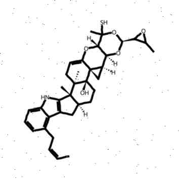 C/C=C\Cc1cccc2[nH]c3c(c12)C[C@@H]1CC[C@]2(O)[C@](C)(CC=C4O[C@H]5[C@@H](O[C@H](C6OC6C)OC5(C)S)[C@H]5C[C@@]452)[C@@]31C